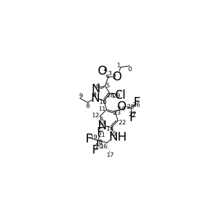 CCOC(=O)c1nn(CC)c(-c2cnc(N[C@H](C)C(F)(F)F)cc2OC(F)F)c1Cl